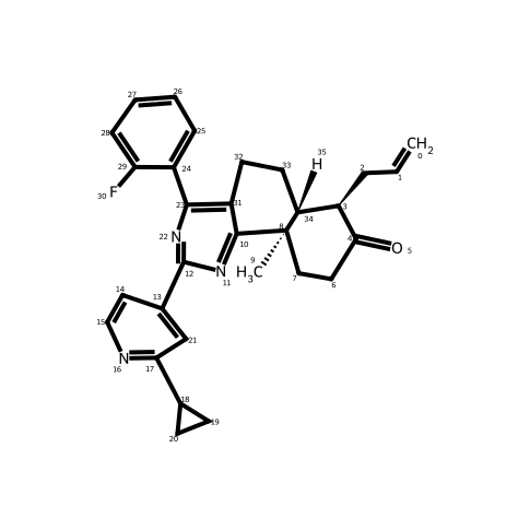 C=CC[C@H]1C(=O)CC[C@@]2(C)c3nc(-c4ccnc(C5CC5)c4)nc(-c4ccccc4F)c3CC[C@H]12